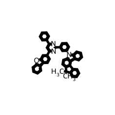 CC1(C)c2ccccc2-c2c1ccc1c2c2ccccc2n1-c1cccc(-c2nc(-c3ccccc3)cc(-c3ccc4c(c3)oc3ccccc34)n2)c1